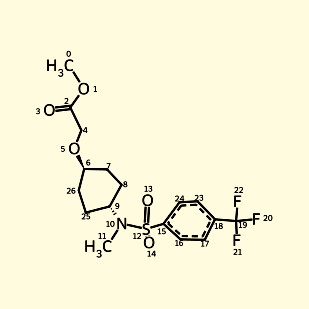 COC(=O)CO[C@H]1CC[C@H](N(C)S(=O)(=O)c2ccc(C(F)(F)F)cc2)CC1